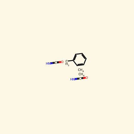 C.C.Cc1ccccc1.N=C=O.N=C=O